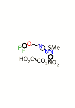 CSC(=Nc1ccc([N+](=O)[O-])cc1)N(C)C1CCN(CCCCOc2ccc(F)c(F)c2)CC1.O=C(O)/C=C/C(=O)O